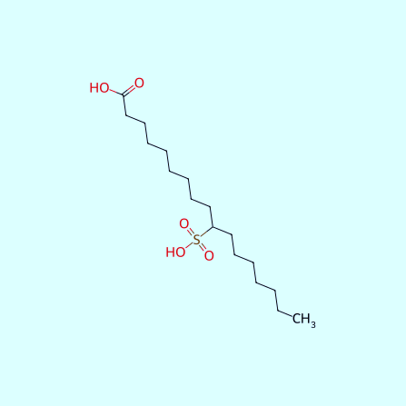 CCCCCCCC(CCCCCCCCC(=O)O)S(=O)(=O)O